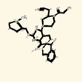 C=CC(=O)N1CCN(C2NC(OCC3CCCN3C)NC3C(=O)[C@@]4(CCC32)SCc2ccccc2C4Cl)CC1CC#N